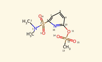 CN(C)S(=O)(=O)c1cccc(OS(C)(=O)=O)n1